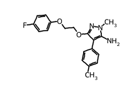 Cc1ccc(-c2c(OCCOc3ccc(F)cc3)nn(C)c2N)cc1